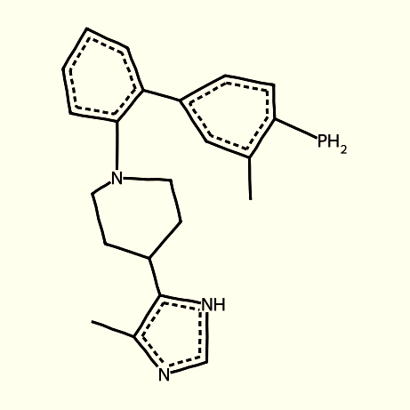 Cc1cc(-c2ccccc2N2CCC(c3[nH]cnc3C)CC2)ccc1P